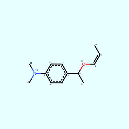 C/C=C\OC(C)c1ccc(N(C)C)cc1